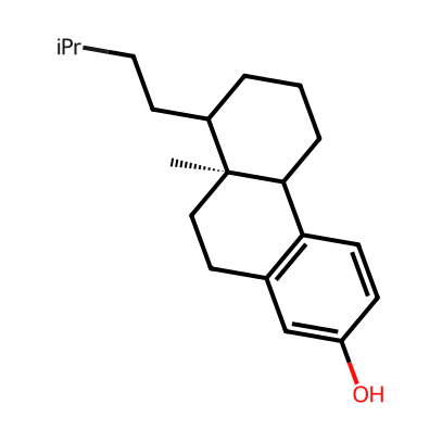 CC(C)CCC1CCCC2c3ccc(O)cc3CC[C@@]12C